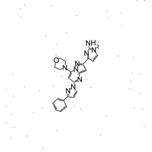 Nc1nccc(-c2cc3nc(-n4ccc(-c5ccccc5)n4)cc(N4CCOCC4)n3n2)n1